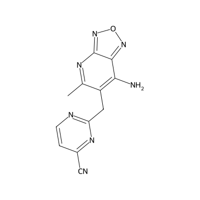 Cc1nc2nonc2c(N)c1Cc1nccc(C#N)n1